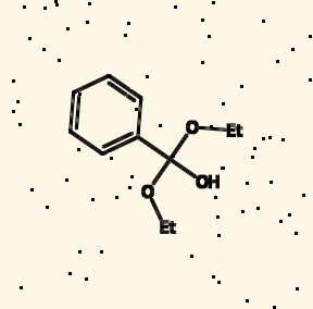 CCOC(O)(OCC)c1ccccc1